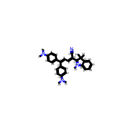 CN(C)c1ccc(C(=CC=C(C#N)C2=[N+](C)c3ccccc3C2(C)C)c2ccc(N(C)C)cc2)cc1